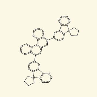 c1ccc2c(c1)-c1cc(-c3cc4cc(-c5ccc6c(c5)-c5ccccc5[Si]65CCCC5)c5ccccc5c4c4ccccc34)ccc1[Si]21CCCC1